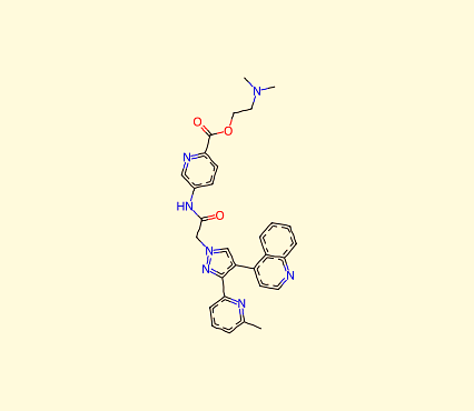 Cc1cccc(-c2nn(CC(=O)Nc3ccc(C(=O)OCCN(C)C)nc3)cc2-c2ccnc3ccccc23)n1